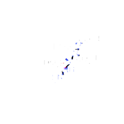 NCCNC(=O)CN(CCN(CCN(CC(=O)O)CC(=O)O)CC(=O)O)CC(=O)O